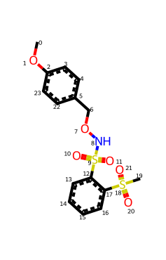 COc1ccc(CONS(=O)(=O)c2ccccc2S(C)(=O)=O)cc1